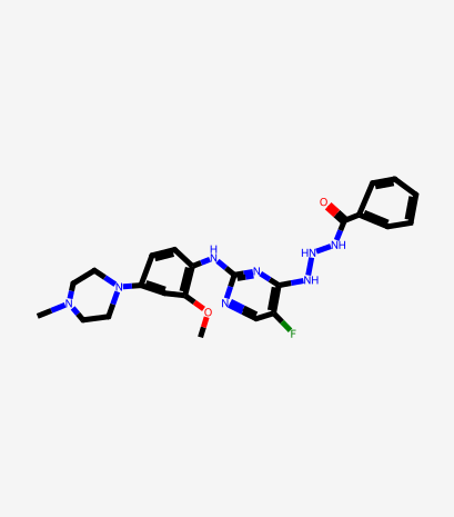 COc1cc(N2CCN(C)CC2)ccc1Nc1ncc(F)c(NNNC(=O)c2ccccc2)n1